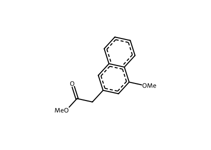 COC(=O)Cc1cc(OC)c2ccccc2c1